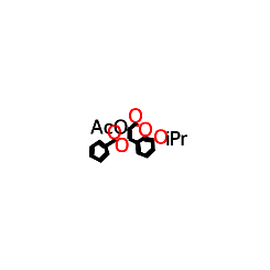 CC(=O)Oc1c(OC(=O)c2ccccc2)c2cccc(OC(C)C)c2oc1=O